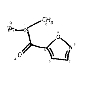 CC(C)N(C)C(=O)c1ccno1